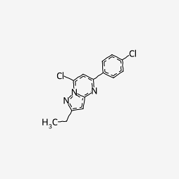 CCc1cc2nc(-c3ccc(Cl)cc3)cc(Cl)n2n1